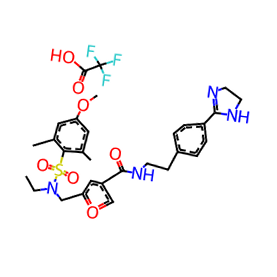 CCN(Cc1cc(C(=O)NCCc2ccc(C3=NCCN3)cc2)co1)S(=O)(=O)c1c(C)cc(OC)cc1C.O=C(O)C(F)(F)F